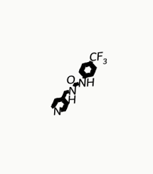 O=C(NCc1ccncc1)Nc1ccc(C(F)(F)F)cc1